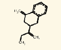 C=C1CC(C(=C)CC)Cc2ccccc21